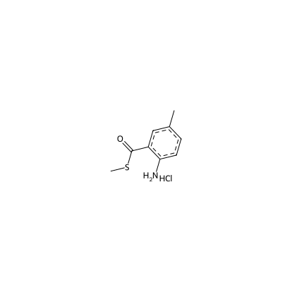 CSC(=O)c1cc(C)ccc1N.Cl